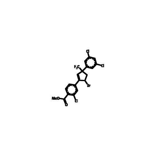 COC(=O)c1ccc(C2=CC(c3cc(Cl)cc(Cl)c3)(C(F)(F)F)CC2Br)cc1Cl